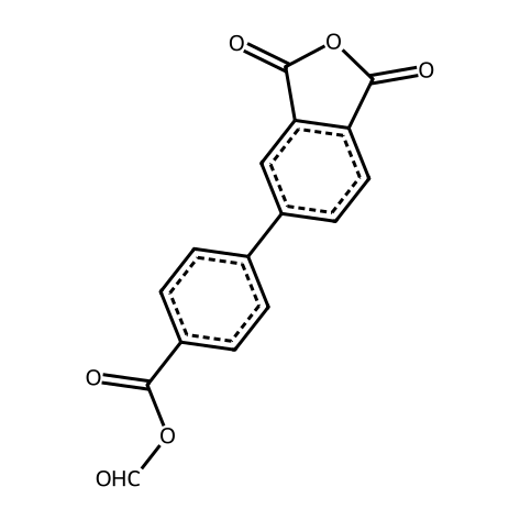 O=COC(=O)c1ccc(-c2ccc3c(c2)C(=O)OC3=O)cc1